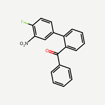 O=C(c1ccccc1)c1ccccc1-c1ccc(F)c([N+](=O)[O-])c1